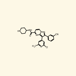 Cc1cc(-c2c(-c3cccc(C#N)c3)nn3ccc(C(=O)NC4CCNCC4)nc23)cc(Cl)n1